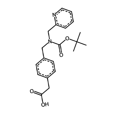 CC(C)(C)OC(=O)N(Cc1ccc(CC(=O)O)cc1)Cc1ccccn1